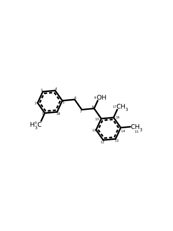 Cc1cccc(CCC(O)c2cccc(C)c2C)c1